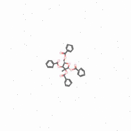 CC1(OC(=O)c2ccccc2)C(OC(=O)c2ccccc2)[C@@H](COC(=O)c2ccccc2)O[C@H]1OC(=O)c1ccccc1